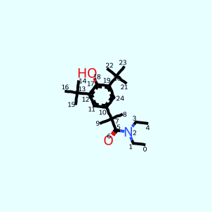 CCN(CC)C(=O)C(C)(C)c1cc(C(C)(C)C)c(O)c(C(C)(C)C)c1